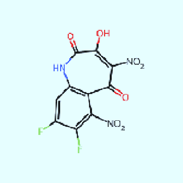 O=c1[nH]c2cc(F)c(F)c([N+](=O)[O-])c2c(=O)c([N+](=O)[O-])c1O